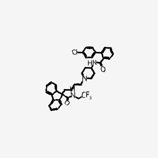 O=C(NC1CCN(CCCCC2(C(=O)NCC(F)(F)F)c3ccccc3-c3ccccc32)CC1)c1ccccc1-c1ccc(Cl)cc1